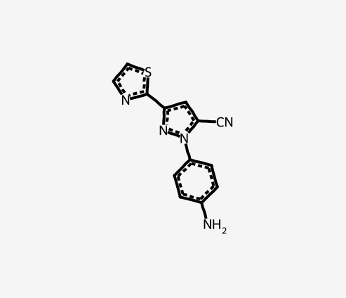 N#Cc1cc(-c2nccs2)nn1-c1ccc(N)cc1